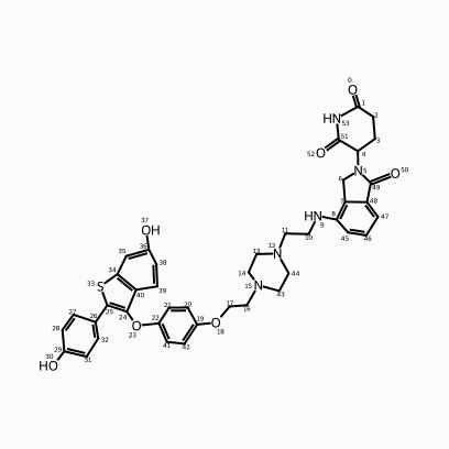 O=C1CCC(N2Cc3c(NCCN4CCN(CCOc5ccc(Oc6c(-c7ccc(O)cc7)sc7cc(O)ccc67)cc5)CC4)cccc3C2=O)C(=O)N1